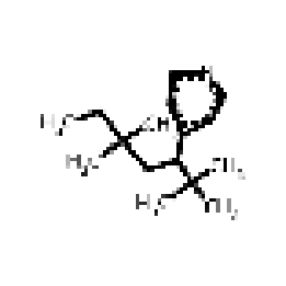 CCC(C)(C)CC(c1ccncc1)C(C)(C)C